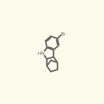 Brc1ccc2c(c1)C1C3CCC(C3)C1N2